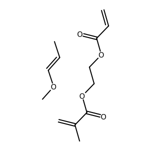 C/C=C/OC.C=CC(=O)OCCOC(=O)C(=C)C